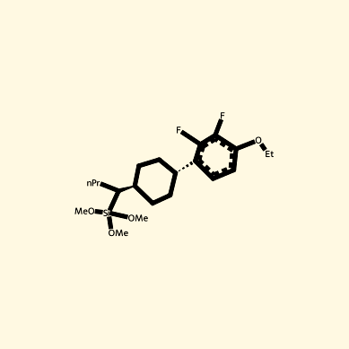 CCCC([C@H]1CC[C@H](c2ccc(OCC)c(F)c2F)CC1)[Si](OC)(OC)OC